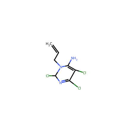 C=CCN1C(N)=C(Cl)C(Cl)=NC1Cl